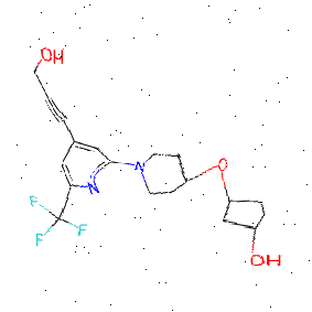 OCC#Cc1cc(N2CCC(OC3CC(O)C3)CC2)nc(C(F)(F)F)c1